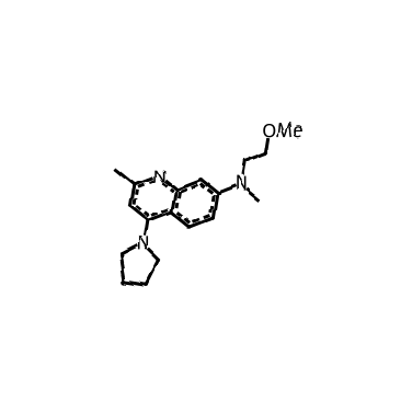 COCCN(C)c1ccc2c(N3CCCC3)cc(C)nc2c1